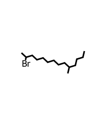 CCCCC(C)CCCCCCCC(C)Br